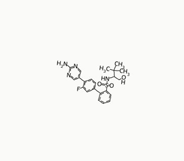 CC(C)(C)C(CO)NS(=O)(=O)c1ccccc1-c1ccc(-c2cnc(N)nc2)c(F)c1